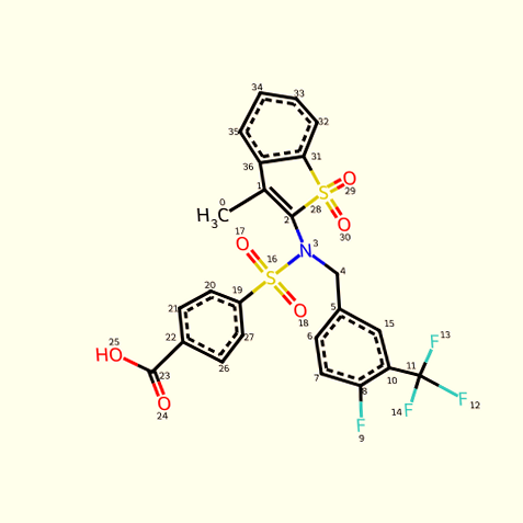 CC1=C(N(Cc2ccc(F)c(C(F)(F)F)c2)S(=O)(=O)c2ccc(C(=O)O)cc2)S(=O)(=O)c2ccccc21